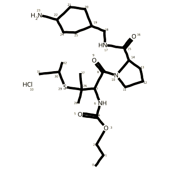 CCCOC(=O)NC(C(=O)N1CCCC1C(=O)NCC1CCC(N)CC1)C(C)(C)SC(C)C.Cl